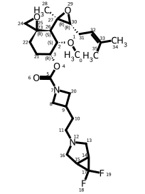 CO[C@@H]1[C@H](OC(=O)N2CC(CCN3CC4C(C3)C4(F)F)C2)CC[C@]2(CO2)[C@H]1[C@@]1(C)O[C@@H]1CC=C(C)C